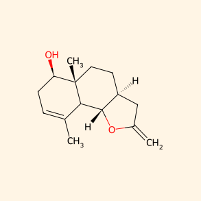 C=C1C[C@@H]2CC[C@]3(C)C(C(C)=CC[C@H]3O)[C@H]2O1